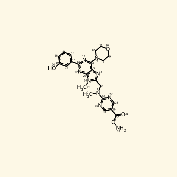 CN(Cc1nc2c(N3CCOCC3)nc(-c3cccc(O)c3)nc2n1C)c1ncc(C(=O)ON)cn1